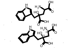 NC(CC(O)(Cc1c[nH]c2ccccc12)C(=O)O)C(=O)O.N[C@@H](C[C@@](O)(Cc1c[nH]c2ccccc12)C(=O)O)C(=O)O